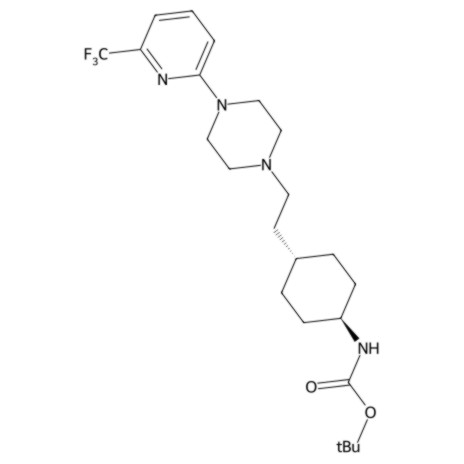 CC(C)(C)OC(=O)N[C@H]1CC[C@H](CCN2CCN(c3cccc(C(F)(F)F)n3)CC2)CC1